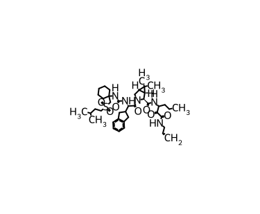 C=CCNC(=O)C(=O)C(CCC)NC(=O)[C@@H]1[C@@H]2[C@H](CN1C(=O)[C@@H](NC(=O)NC1(CS(=O)(=O)CCC(C)C)CCCCC1)C1Cc3ccccc3C1)C2(C)C